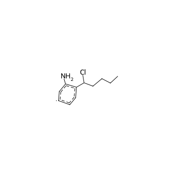 CCCCC(Cl)c1cc[c]cc1N